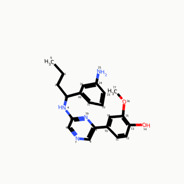 CCCC(Nc1cncc(-c2ccc(O)c(OC)c2)n1)c1cccc(N)c1